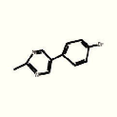 Cc1ncc(-c2ccc(Br)cc2)cn1